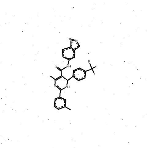 CC1=C(C(=O)Nc2ccc3[nH]ncc3c2)C(c2ccc(C(F)(F)F)cc2)NC(c2cccc(C)c2)=N1